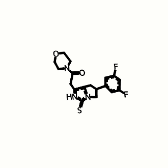 O=C(Cc1[nH]c(=S)n2c1CC(c1cc(F)cc(F)c1)C2)N1CCOCC1